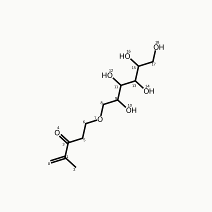 C=C(C)C(=O)CCOCC(O)C(O)C(O)C(O)CO